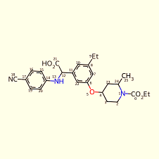 CCOC(=O)N1CCC(Oc2cc(CC)cc(C(Nc3ccc(C#N)cc3)C(=O)O)c2)CC1C